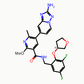 COc1nc(C)c(-c2ccn3nc(N)nc3c2)cc1C(=O)NCc1cc(F)cc(F)c1O[C@H]1CCOC1